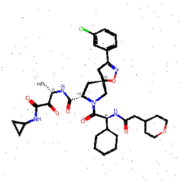 CCC[C@H](NC(=O)[C@@H]1C[C@]2(CC(c3cccc(Cl)c3)=NO2)CN1C(=O)[C@@H](NC(=O)CC1CCOCC1)C1CCCCC1)C(=O)C(=O)NC1CC1